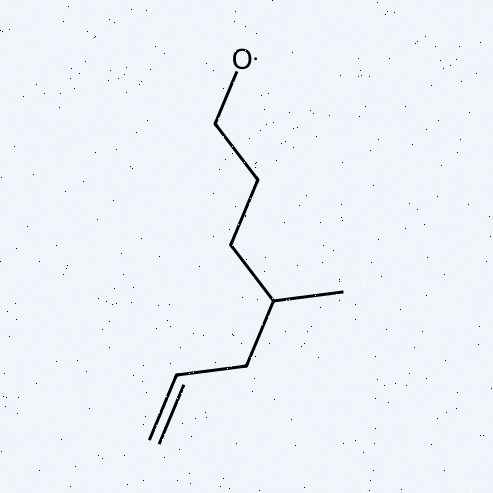 C=CCC(C)CCC[O]